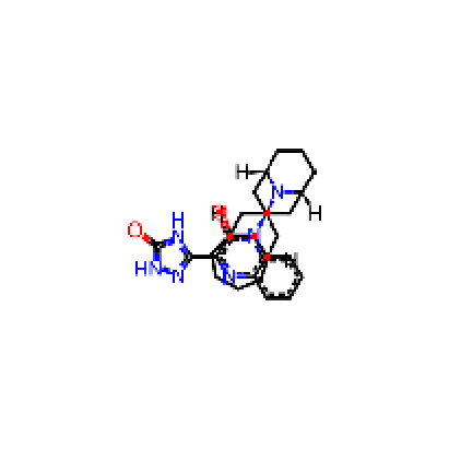 O=c1[nH]nc(-c2nc3ccccc3n([C@@H]3C[C@H]4CCC[C@@H](C3)N4[C@@H]3C[C@@H]4CCCC[C@@H](C4)C3)c2=O)[nH]1